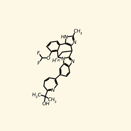 Cc1nc2c([nH]1)-c1cccc(OC(F)F)c1[C@H]1CC2c2nc3ccc(C4=CN=C(C(C)(C)O)CC=C4)cc3n21